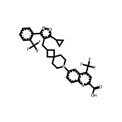 O=C(O)c1cc(C(F)(F)F)c2cc(N3CCC4(CC3)CC(Cc3c(-c5ccccc5C(F)(F)F)noc3C3CC3)C4)ccc2n1